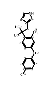 CCC(O)(Cc1nc[nH]n1)c1ccc(Oc2ccc(Cl)cc2)cc1C(F)(F)F